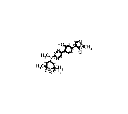 CN(c1ncc(-c2ccc(-c3cnn(C)c3Cl)cc2O)nn1)C1CC(C)(C)NC(C)(C)C1